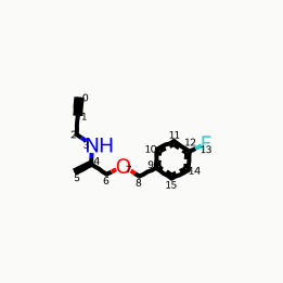 C#CCNC(=C)COCc1ccc(F)cc1